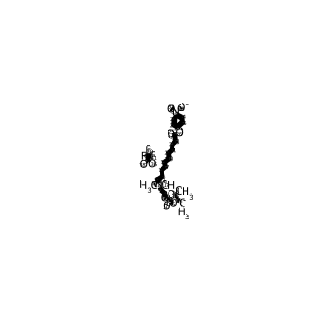 CCOP(=O)(OCC)OCC[N+](C)(C)CCCCCCCCCCC(=O)Oc1ccc([N+](=O)[O-])cc1.O=C([O-])C(F)(F)F